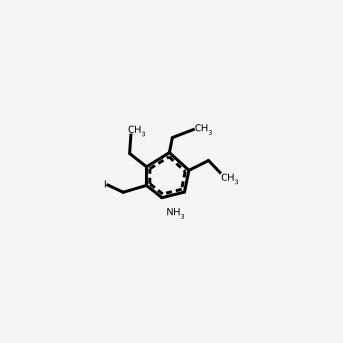 CCc1ccc(CI)c(CC)c1CC.N